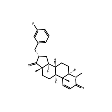 CN1C(=O)C=C[C@]2(C)[C@H]3CC[C@]4(C)C(=O)[C@H](Cc5cccc(F)c5)C[C@H]4[C@@H]3CC[C@@H]12